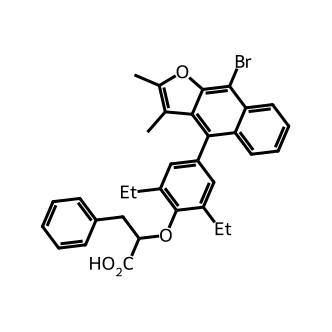 CCc1cc(-c2c3ccccc3c(Br)c3oc(C)c(C)c23)cc(CC)c1OC(Cc1ccccc1)C(=O)O